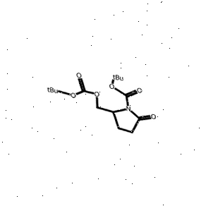 CC(C)(C)OC(=O)OCC1CCC(=O)N1C(=O)OC(C)(C)C